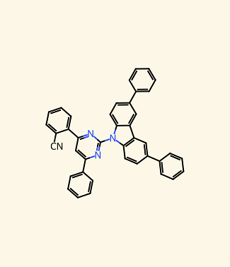 N#Cc1ccccc1-c1cc(-c2ccccc2)nc(-n2c3ccc(-c4ccccc4)cc3c3cc(-c4ccccc4)ccc32)n1